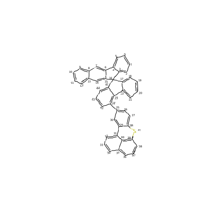 c1ccc2c(c1)-c1cc3ccccc3cc1C21c2ccccc2-c2c(-c3ccc4c(c3)-c3cccc5cccc(c35)S4)cccc21